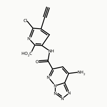 C#Cc1cc(NC(=O)c2cc(N)c3nnnn3n2)c(C(=O)O)nc1Cl